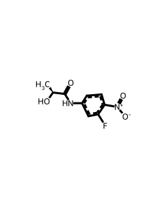 C[C@H](O)C(=O)Nc1ccc([N+](=O)[O-])c(F)c1